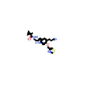 CC1(C(=O)NCc2cc3cc(CCC#N)c(OCc4cscn4)cc3[nH]2)CC1